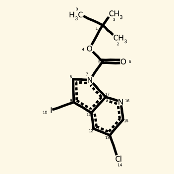 CC(C)(C)OC(=O)n1cc(I)c2cc(Cl)cnc21